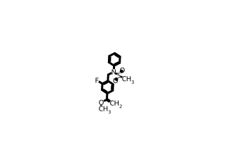 C=C(OC)c1ccc(CN(c2ccccc2)S(C)(=O)=O)c(F)c1